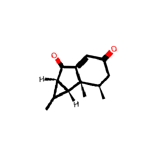 CC1[C@@H]2[C@H]1C(=O)C1=CC(=O)C[C@@H](C)[C@@]12C